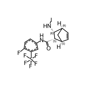 O=C(Nc1ccc(F)c(S(F)(F)(F)(F)F)c1)[C@@H]1[C@H](NI)[C@H]2C=C[C@@H]1C2